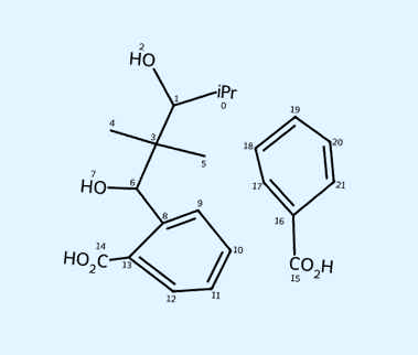 CC(C)C(O)C(C)(C)C(O)c1ccccc1C(=O)O.O=C(O)c1ccccc1